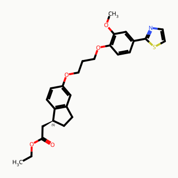 CCOC(=O)C[C@@H]1CCc2cc(OCCCOc3ccc(-c4nccs4)cc3OC)ccc21